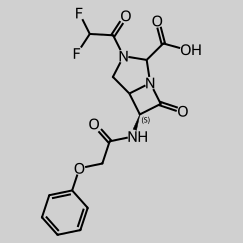 O=C(COc1ccccc1)N[C@@H]1C(=O)N2C1CN(C(=O)C(F)F)C2C(=O)O